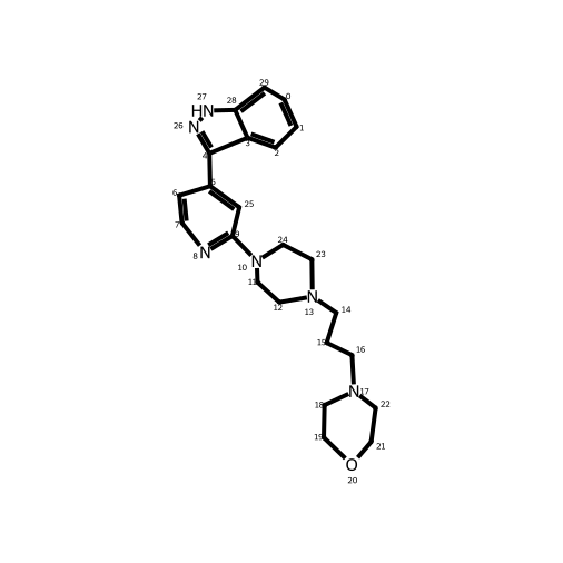 c1ccc2c(-c3ccnc(N4CCN(CCCN5CCOCC5)CC4)c3)n[nH]c2c1